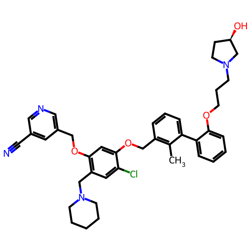 Cc1c(COc2cc(OCc3cncc(C#N)c3)c(CN3CCCCC3)cc2Cl)cccc1-c1ccccc1OCCCN1CC[C@@H](O)C1